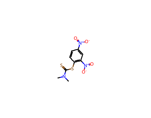 CN(C)C(=S)Sc1ccc([N+](=O)[O-])cc1[N+](=O)[O-]